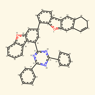 C1=Cc2cc3oc4c(-c5cc(-c6nc(-c7ccccc7)nc(-c7ccccc7)n6)c6c(c5)oc5ccccc56)cccc4c3cc2CC1